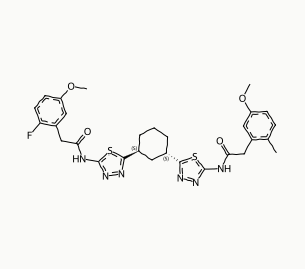 COc1ccc(C)c(CC(=O)Nc2nnc([C@H]3CCC[C@H](c4nnc(NC(=O)Cc5cc(OC)ccc5F)s4)C3)s2)c1